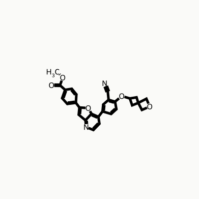 COC(=O)c1ccc(-c2cc3nccc(-c4ccc(OC5CC6(COC6)C5)c(C#N)c4)c3o2)cc1